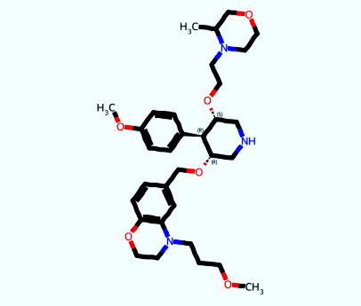 COCCCN1CCOc2ccc(CO[C@H]3CNC[C@@H](OCCN4CCOCC4C)[C@@H]3c3ccc(OC)cc3)cc21